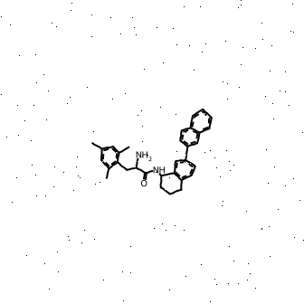 Cc1cc(C)c(CC(N)C(=O)NC2CCCc3ccc(-c4ccc5ccccc5c4)cc32)c(C)c1